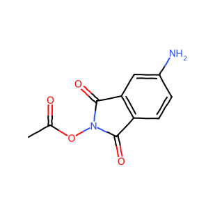 CC(=O)ON1C(=O)c2ccc(N)cc2C1=O